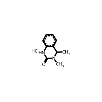 CC1c2ccccc2NC(=O)N1C.Cl